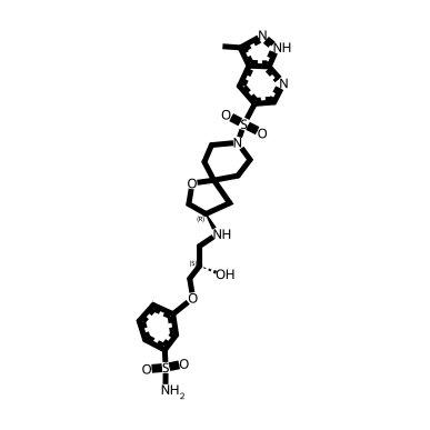 Cc1n[nH]c2ncc(S(=O)(=O)N3CCC4(CC3)C[C@@H](NC[C@H](O)COc3cccc(S(N)(=O)=O)c3)CO4)cc12